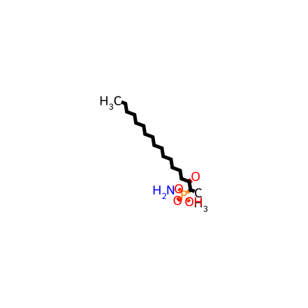 CCCCCCCCCCCCCCCC(=O)C(C)P(=O)(O)ON